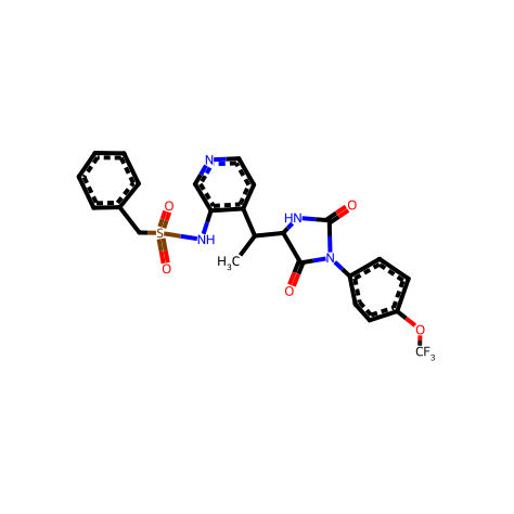 CC(c1ccncc1NS(=O)(=O)Cc1ccccc1)C1NC(=O)N(c2ccc(OC(F)(F)F)cc2)C1=O